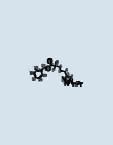 CCCn1cc(CCCC(C)(C)C(=O)OCc2ccccc2)nn1